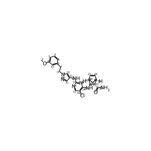 COc1cccc(CCn2cc(Nc3ncc(Cl)c(N[C@H]4[C@@H](C(N)=O)[C@@H]5C=C[C@H]4C5)n3)cn2)c1